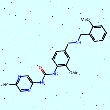 COc1ccccc1CNCc1ccc(NC(=O)Nc2cnc(C#N)cn2)c(OC)c1